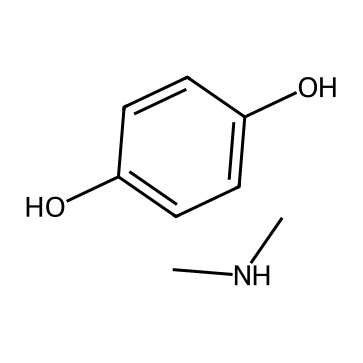 CNC.Oc1ccc(O)cc1